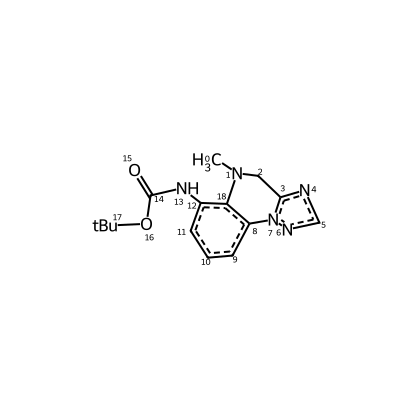 CN1Cc2ncnn2-c2cccc(NC(=O)OC(C)(C)C)c21